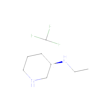 CCN[C@H]1CNCC[C@@H]1C(F)(F)F